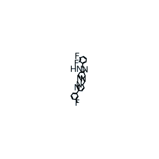 Fc1cccc(-c2ccc(CN3Cc4nc(-c5cccc(F)c5F)[nH]c4C=N3)nn2)c1